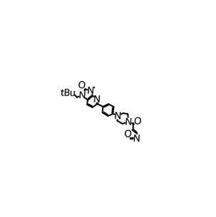 Cn1c(=O)n(CC(C)(C)C)c2ccc(-c3ccc(N4CCN(C(=O)c5cnco5)CC4)cc3)nc21